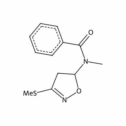 CSC1=NOC(N(C)C(=O)c2ccccc2)C1